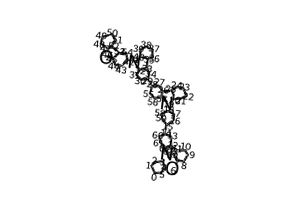 c1ccc2c(c1)Oc1cccc3c4cc(-c5ccc(-n6c7ccccc7c7cc(-c8ccc9c(c8)c8ccccc8n9-c8ccc9oc%10ccccc%10c9c8)ccc76)cc5)ccc4n-2c13